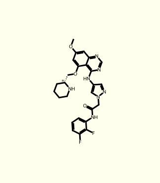 COc1cc(OC[C@H]2CCCCN2)c2c(Nc3cnn(CC(=O)Nc4cccc(F)c4F)c3)ncnc2c1